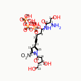 N[C@@H](CO)C(=O)NC(CCC#Cc1cc([N+](=O)[O-])n([C@H]2C[C@H](O)[C@@H](CO)O2)c1)OP(=O)(O)OP(=O)(O)OP(=O)(O)O